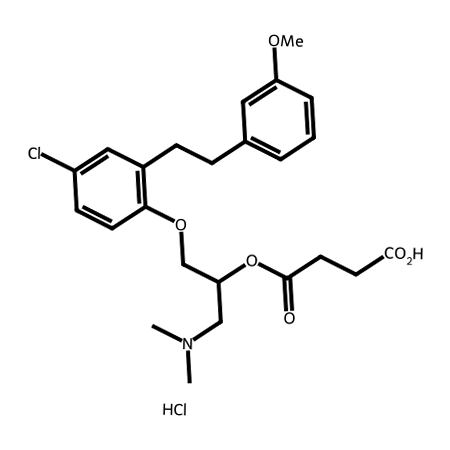 COc1cccc(CCc2cc(Cl)ccc2OCC(CN(C)C)OC(=O)CCC(=O)O)c1.Cl